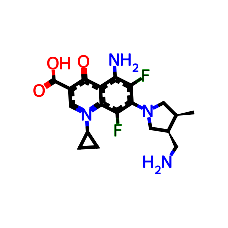 C[C@@H]1CN(c2c(F)c(N)c3c(=O)c(C(=O)O)cn(C4CC4)c3c2F)C[C@@H]1CN